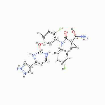 Cc1cc(F)c(N(C(=O)C2(C(N)=O)CC2)c2ccc(F)cc2)cc1Oc1nccc(-c2cn[nH]c2)n1